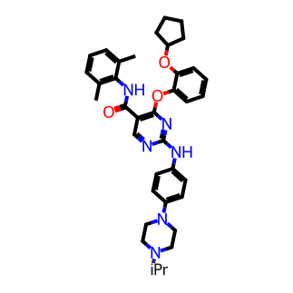 Cc1cccc(C)c1NC(=O)c1cnc(Nc2ccc(N3CCN(C(C)C)CC3)cc2)nc1Oc1ccccc1OC1CCCC1